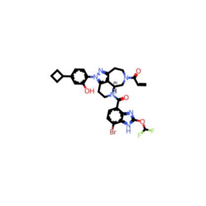 C=CC(=O)N1CCc2nn(-c3ccc(C4CCC4)cc3O)c3c2[C@H](C1)N(C(=O)c1ccc(Br)c2[nH]c(OC(F)F)nc12)CC3